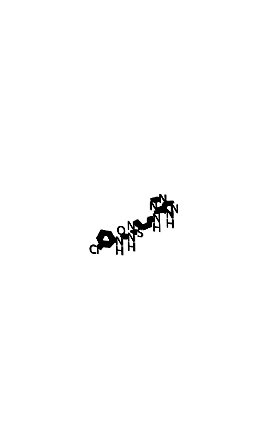 O=C(Nc1cccc(Cl)c1)Nc1ncc(CCNc2ncnc3cn[nH]c23)s1